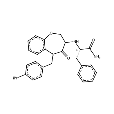 CC(C)c1ccc(CN2C(=O)C(N[C@@H](Cc3ccccc3)C(N)=O)COc3ccccc32)cc1